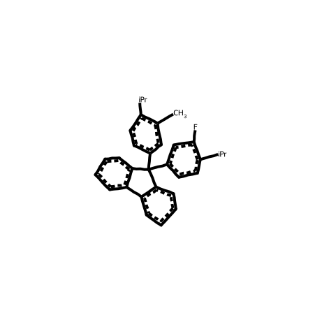 Cc1cc(C2(c3ccc(C(C)C)c(F)c3)c3ccccc3-c3ccccc32)ccc1C(C)C